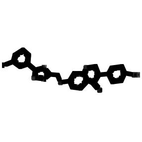 O=c1c(-c2ccc(O)cc2)coc2cc(OCc3noc(-c4cccc(F)c4)n3)ccc12